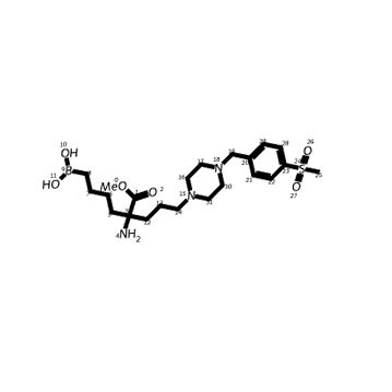 COC(=O)C(N)(CCCCB(O)O)CCCN1CCN(Cc2ccc(S(C)(=O)=O)cc2)CC1